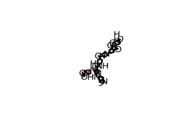 CS(=O)(=O)N1CCC(Nc2cc(Nc3ccc4ncsc4c3)ncc2C(=O)NC2CCC(C(=O)N3CCN(c4ccc5c(c4)C(=O)N(C4CCC(=O)NC4=O)C5=O)CC3)CC2)CC1